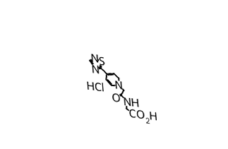 Cl.O=C(O)CNC(=O)CN1C=CC(c2ncns2)=CC1